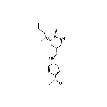 C=C1NCC(CNC2C=CC(C(C)O)=CC2)C/C1=C(\C)CCC